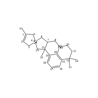 CC1=CC[Si]2(C1)CC1CN3CCC(C)(C)c4cccc(c43)C1(C)C2